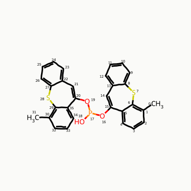 Cc1cccc2c1Sc1ccccc1C=C2OP(O)OC1=Cc2ccccc2Sc2c(C)cccc21